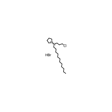 Br.CCCCCCCCCCCCN(CCCCl)N1CCCC1